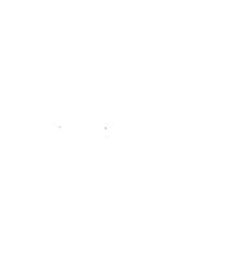 C=C/C(C)=C/C(=O)OC=O